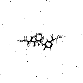 CONC(=O)c1ccc(C)c(Nc2ncnn3cc(C(=O)NC(C)(C)C)c(C)c23)c1